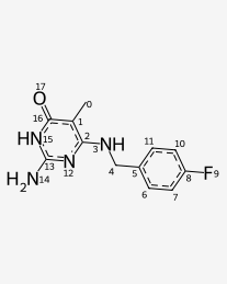 Cc1c(NCc2ccc(F)cc2)nc(N)[nH]c1=O